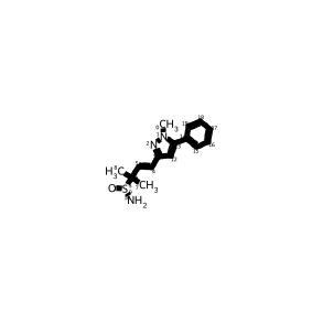 Cn1nc(C=CC(C)(C)[S+](N)[O-])cc1-c1ccccc1